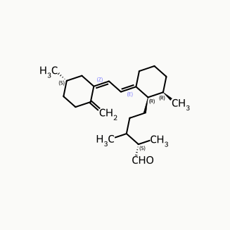 C=C1CC[C@H](C)C/C1=C/C=C1\CCC[C@@H](C)[C@H]1CCC(C)[C@H](C)C=O